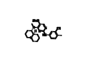 COc1cnc(Nc2ccc(C)c(C#N)c2)nc1N(C)[C@H]1CCCN2CCCC[C@H]12